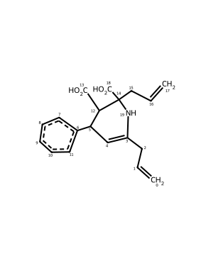 C=CCC1=CC(c2ccccc2)C(C(=O)O)C(CC=C)(C(=O)O)N1